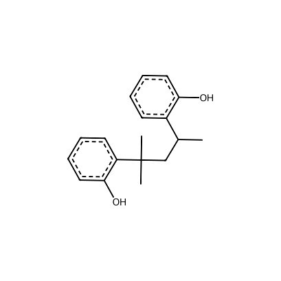 CC(CC(C)(C)c1ccccc1O)c1ccccc1O